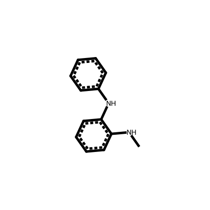 CNc1ccccc1Nc1ccccc1